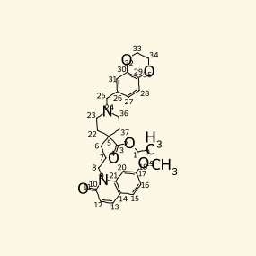 CCOC(=O)C1(CCCn2c(=O)ccc3ccc(OC)cc32)CCN(Cc2ccc3c(c2)OCCO3)CC1